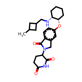 CC1CC(CN[C@@H]2CCCC[C@@H]2Oc2ccc3c(c2)CN(C2CCC(=O)NC2=O)C3=O)C1